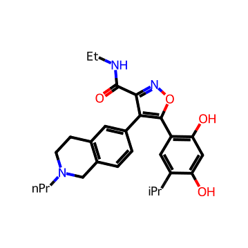 CCCN1CCc2cc(-c3c(C(=O)NCC)noc3-c3cc(C(C)C)c(O)cc3O)ccc2C1